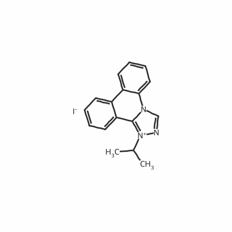 CC(C)[n+]1ncn2c3ccccc3c3ccccc3c21.[I-]